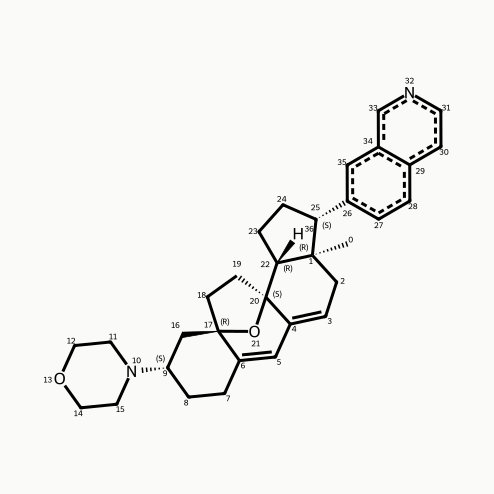 C[C@]12CC=C3C=C4CC[C@H](N5CCOCC5)C[C@]45CC[C@]3(O5)[C@@H]1CC[C@@H]2c1ccc2ccncc2c1